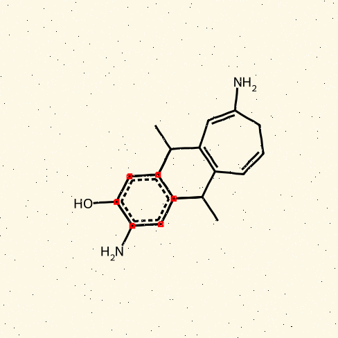 CC12C3=C(C=C(N)CC=C3)C(C)(c3ccccc31)c1cc(O)c(N)cc12